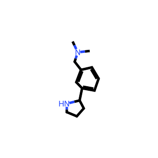 CN(C)Cc1cccc(C2CCCN2)c1